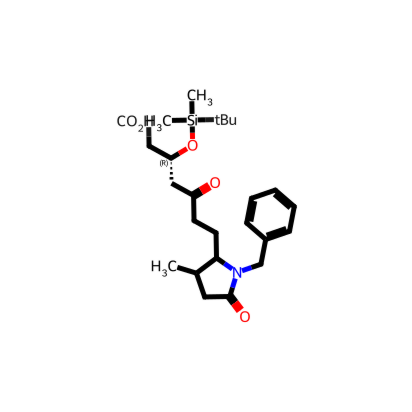 CC1CC(=O)N(Cc2ccccc2)C1CCC(=O)C[C@H](CC(=O)O)O[Si](C)(C)C(C)(C)C